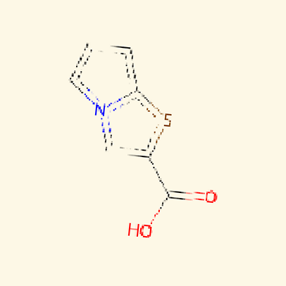 O=C(O)c1cn2cccc2s1